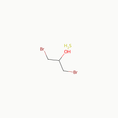 OC(CBr)CBr.S